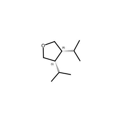 CC(C)[C@H]1COC[C@H]1C(C)C